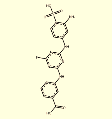 Nc1cc(Nc2nc(F)nc(Nc3cccc(C(=O)O)c3)n2)ccc1S(=O)(=O)O